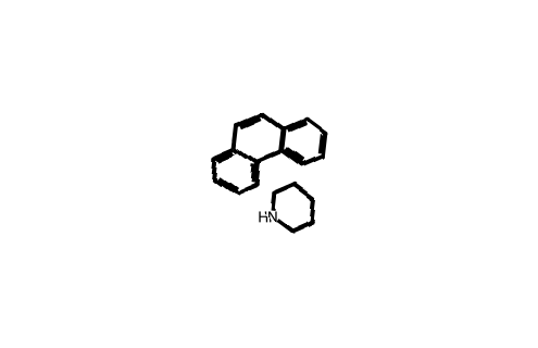 C1CCNCC1.c1ccc2c(c1)ccc1ccccc12